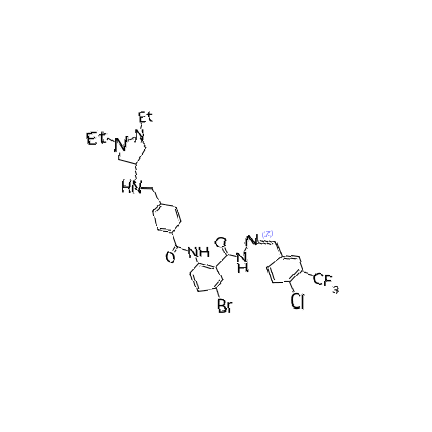 CCN1CC(NCc2ccc(C(=O)Nc3ccc(Br)cc3C(=O)N/N=C\c3ccc(Cl)c(C(F)(F)F)c3)cc2)CN1CC